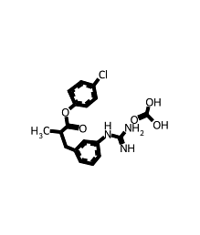 CC(Cc1cccc(NC(=N)N)c1)C(=O)Oc1ccc(Cl)cc1.O=C(O)O